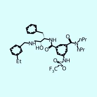 CCCN(CCC)C(=O)c1cc(NS(=O)(=O)C(F)(F)F)cc(C(=O)N[C@@H](Cc2ccccc2)[C@H](O)CNCc2cccc(CC)c2)c1